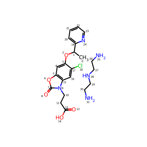 CC(Oc1cc2oc(=O)n(CCC(=O)O)c2cc1Cl)c1ccccn1.NCCNCCN